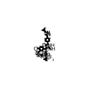 N=C1N[C@H](c2ccc(-c3cn(C4CC4)nn3)cc2)C(=O)N1[C@H](COC(=O)NC1(C(F)(F)F)CC1)c1ccc(Cl)c(-c2ncnn2C(F)F)c1